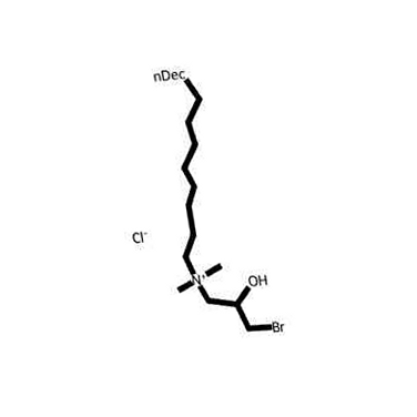 CCCCCCCCCCCCCCCCCC[N+](C)(C)CC(O)CBr.[Cl-]